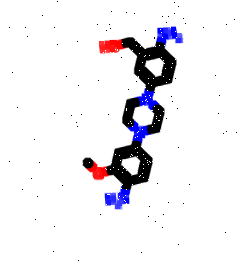 COc1cc(N2CCN(c3ccc(N)c(CO)c3)CC2)ccc1N